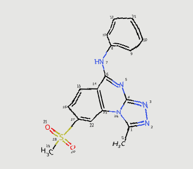 Cc1nnc2nc(Nc3ccccc3)c3ccc(S(C)(=O)=O)cc3n12